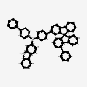 C1=C(c2ccccc2)CCC(N(c2ccc(-c3ccc4c(c3)C3(c5ccccc5-4)c4ccccc4-c4c(-c5ccccc5)cccc43)cc2)c2ccc3c(c2)oc2ccccc23)=C1